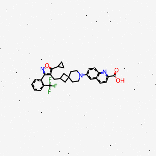 O=C(O)c1ccc2cc(N3CCC4(CC3)CC(Cc3c(-c5ccccc5C(F)(F)F)noc3C3CC3)C4)ccc2n1